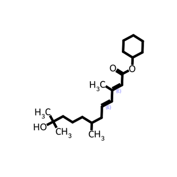 CC(/C=C/CC(C)CCCC(C)(C)O)=C\C(=O)OC1CCCCC1